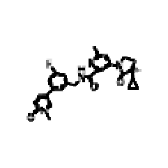 Cc1cc(N2CC[C@@](C)(C3CC3)C2=O)cc(C(=O)NCc2cc(F)cc(-c3ccc(=O)n(C)c3)c2)n1